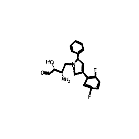 N[C@@H](CN1CC(c2cc(F)ccc2F)=CC1c1ccccc1)[C@@H](O)C=O